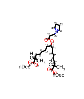 CCCCCCCCCCOC(=O)C(C)(C)CCCCCC(CCCCCC(C)(C)C(=O)OCCCCCCCCCC)OC(=O)CCN1CCCC1